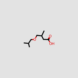 CC(C)COCC(C)CC(=O)O